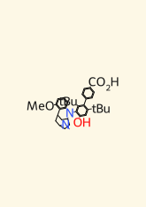 COc1cccc2c1C1CC3CCC(C1)(N2c1c(O)cc(C(C)(C)C)c(-c2ccc(C(=O)O)cc2)c1C(C)(C)C)N3C